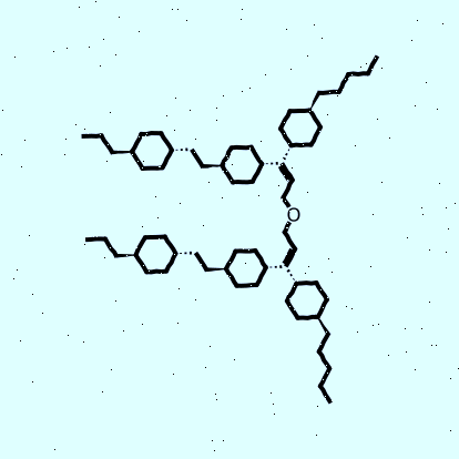 CCCCC[C@H]1CC[C@H](C(=CCOCC=C([C@H]2CC[C@H](CCCCC)CC2)[C@H]2CC[C@H](CC[C@H]3CC[C@H](CCC)CC3)CC2)[C@H]2CC[C@H](CC[C@H]3CC[C@H](CCC)CC3)CC2)CC1